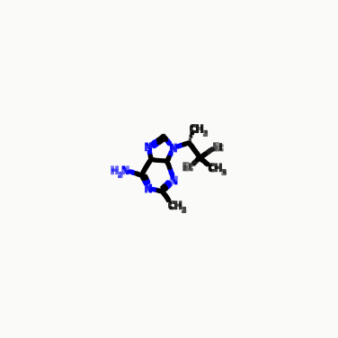 CCC(C)(CC)[C@@H](C)N1C=NC2C(N)=NC(C)=NC21